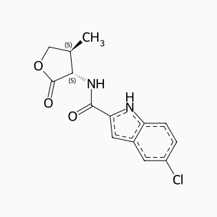 C[C@@H]1COC(=O)[C@H]1NC(=O)c1cc2cc(Cl)ccc2[nH]1